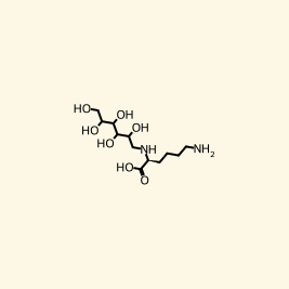 NCCCC[C@H](NCC(O)C(O)C(O)C(O)CO)C(=O)O